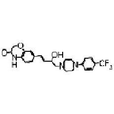 O=C1COc2cc(C=C[C@@H](O)CN3CCN(c4ccc(C(F)(F)F)cc4)CC3)ccc2N1